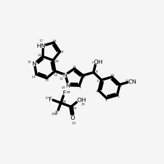 N#Cc1cccc(C(O)c2cnn(-c3ccnc4[nH]ccc34)c2)c1.O=C(O)C(F)(F)F